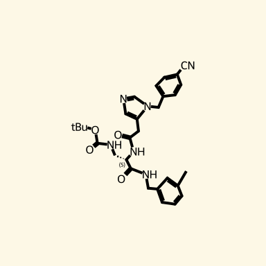 Cc1cccc(CNC(=O)[C@H](CNC(=O)OC(C)(C)C)NC(=O)Cc2cncn2Cc2ccc(C#N)cc2)c1